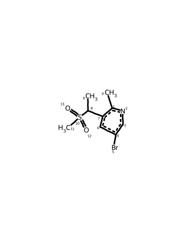 Cc1ncc(Br)cc1C(C)S(C)(=O)=O